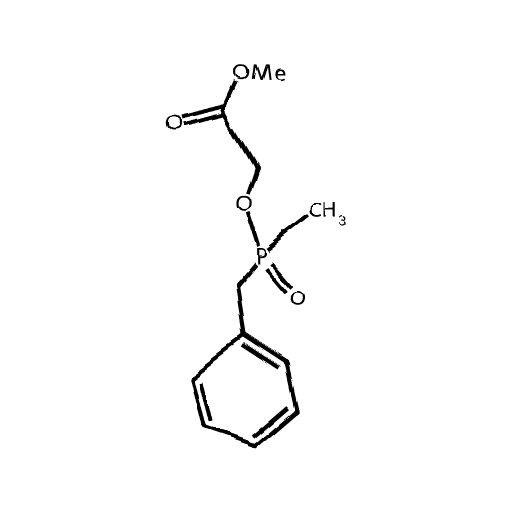 COC(=O)COP(C)(=O)Cc1ccccc1